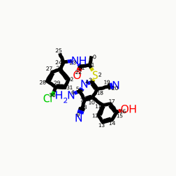 CC(Sc1nc(N)c(C#N)c(-c2cccc(O)c2)c1C#N)C(=O)NC(C)c1ccc(Cl)cc1